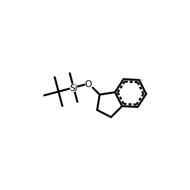 CC(C)(C)[Si](C)(C)OC1CCc2cc[c]cc21